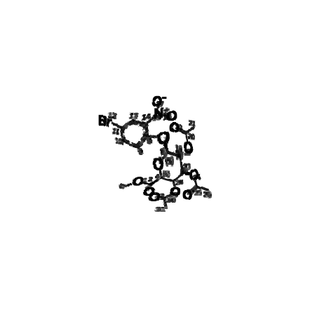 COC(=O)[C@H]1O[C@@H](Oc2ccc(Br)cc2[N+](=O)[O-])[C@H](OC(C)=O)[C@@H](OC(C)=O)C1OC(C)=O